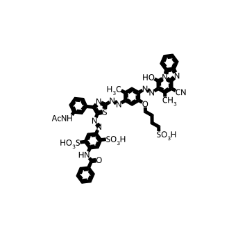 CC(=O)Nc1cccc(-c2nc(N=Nc3cc(OCCCCS(=O)(=O)O)c(N=Nc4c(C)c(C#N)c5nc6ccccc6n5c4O)cc3C)sc2N=Nc2cc(S(=O)(=O)O)c(NC(=O)c3ccccc3)cc2S(=O)(=O)O)c1